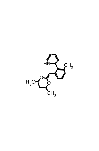 Cc1cccc(C=C2OC(C)CC(C)O2)c1C1C=CC=CN1